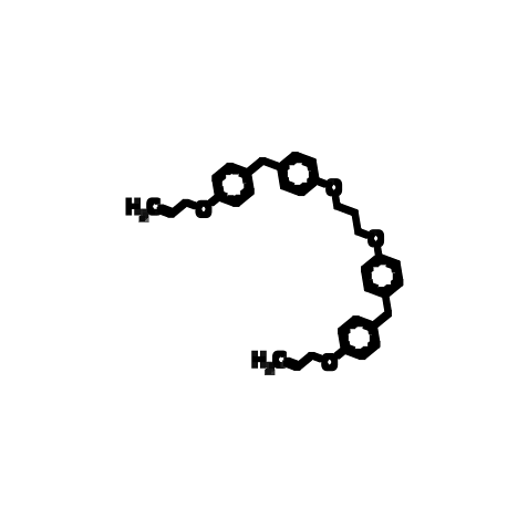 C=CCOc1ccc(Cc2ccc(OCCCOc3ccc(Cc4ccc(OCC=C)cc4)cc3)cc2)cc1